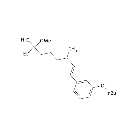 CCCCOc1cccc(/C=C/C(C)CCCC(C)(CC)OC)c1